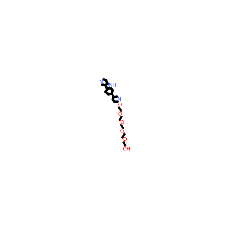 OCCOCCOCCOCCOCCOc1ccc(-c2ccc3c(c2)[nH]c2ccncc23)cn1